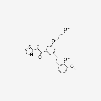 COCCCOc1cc(CCc2cccc(OC)c2OC)cc(C(=O)Nc2nccs2)c1